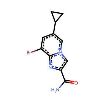 NC(=O)c1cn2cc(C3CC3)cc(Br)c2n1